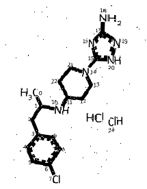 CC(Cc1ccc(Cl)cc1)NC1CCN(c2nc(N)n[nH]2)CC1.Cl.Cl